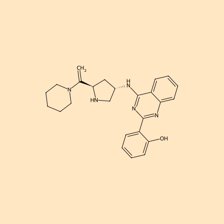 C=C([C@H]1C[C@H](Nc2nc(-c3ccccc3O)nc3ccccc23)CN1)N1CCCCC1